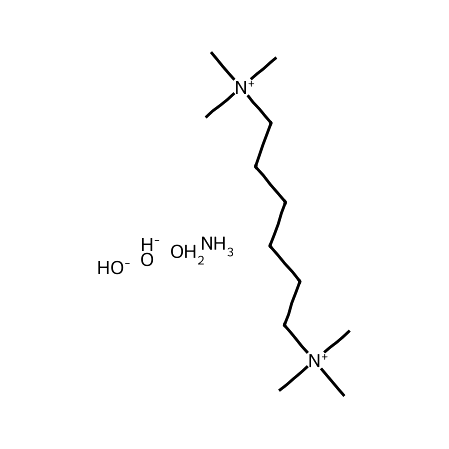 C[N+](C)(C)CCCCCC[N+](C)(C)C.N.O.[OH-].[OH-]